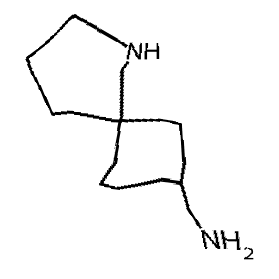 NC1CC2(CCCN2)C1